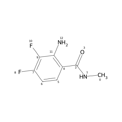 CNC(=O)c1ccc(F)c(F)c1N